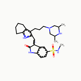 CNS(=O)(=O)c1ccc2c(c1)/C(=C/c1[nH]c3c(c1CCCN1CC(C)NC(C)C1)CCCC3)C(=O)N2